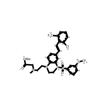 COC(=O)CN(C)CCN1CCN(S(=O)(=O)c2cccc(OC(F)(F)F)c2)c2cc(/C=C/c3c(Cl)cccc3C(F)(F)F)ccc21